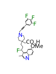 COc1ccc2ncc(C)c([C@@H](F)CCC3(CC(=O)O)CCN(CC#Cc4cc(F)c(F)c(F)c4)CC3)c2c1